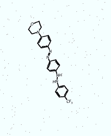 FC(F)(F)c1ccc(NNc2ccc(/N=N/c3ccc(N4CCOCC4)cc3)cc2)cc1